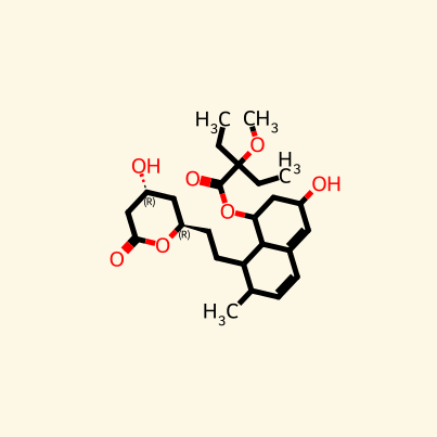 CCC(CC)(OC)C(=O)OC1CC(O)C=C2C=CC(C)C(CC[C@@H]3C[C@@H](O)CC(=O)O3)C21